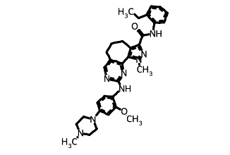 CCc1ccccc1NC(=O)c1nn(C)c2c1CCCc1cnc(Nc3ccc(N4CCN(C)CC4)cc3OC)nc1-2